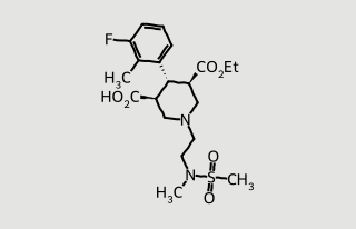 CCOC(=O)[C@H]1CN(CCN(C)S(C)(=O)=O)C[C@@H](C(=O)O)[C@@H]1c1cccc(F)c1C